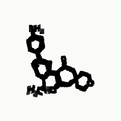 CCc1ccc(-c2ccc(N)cc2)cc1C1=C(O)CC2(CCOCC2)CC1=O